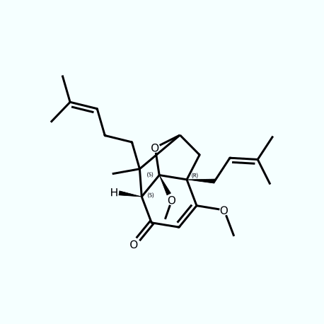 COC1=CC(=O)[C@@H]2C(C)(CCC=C(C)C)C3C[C@@]1(CC=C(C)C)[C@@]2(OC)O3